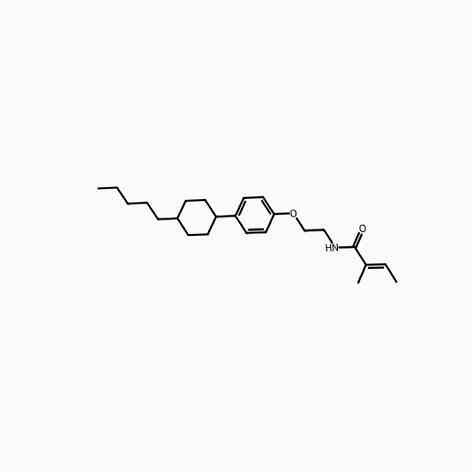 C/C=C(\C)C(=O)NCCOc1ccc(C2CCC(CCCCC)CC2)cc1